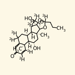 [2H]C1=C([2H])[C@@]2(C)C(=CC1=O)C([2H])([2H])C[C@@H]1[C@@H]2[C@@H](O)C[C@@]2(C)[C@H]1C[C@H]1OC([2H])(CCC)O[C@]12C(=O)C([2H])([2H])O